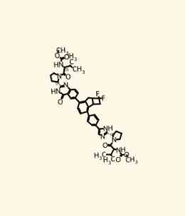 COC(=O)NC(C(=O)N1CCC[C@H]1c1ncc(-c2ccc(-c3ccc(-c4ccc5nc([C@@H]6CCCN6C(=O)[C@@H](NC(=O)OC)C(C)C)[nH]c(=O)c5c4)c4c3C3CC(F)(F)C3C4)cc2)[nH]1)C(C)C